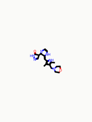 Cc1[nH]c(C=C2NC=CN=C2C2C=NNC2=O)c(C)c1CN1CCOCC1